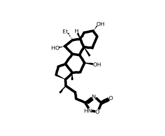 CC[C@H]1[C@@H](O)C2C3CC[C@H]([C@H](C)CCc4nc(=O)o[nH]4)[C@@]3(C)C[C@H](O)C2[C@@]2(C)CC[C@@H](O)C[C@@H]12